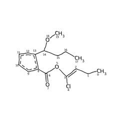 CCC=C(Cl)OC(=O)c1ccccc1C(CCC)OC